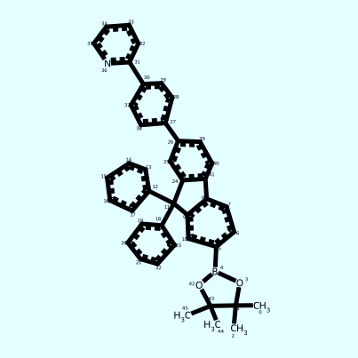 CC1(C)OB(c2ccc3c(c2)C(c2ccccc2)(c2ccccc2)c2cc(-c4ccc(-c5ccccn5)cc4)ccc2-3)OC1(C)C